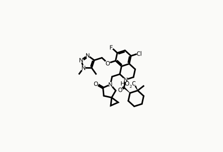 Cc1c(COc2c(F)cc(Cl)c3c2C(CN2CC4(CC4)CC2=O)N(C(=O)[C@@H]2CCCC[C@]2(C)C(=O)O)CC3)nnn1C